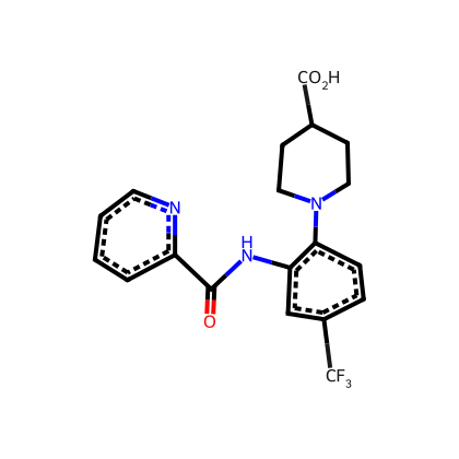 O=C(Nc1cc(C(F)(F)F)ccc1N1CCC(C(=O)O)CC1)c1ccccn1